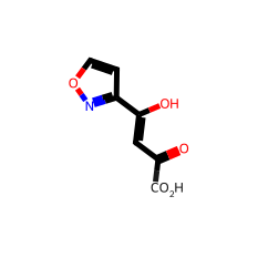 O=C(O)C(=O)/C=C(\O)c1ccon1